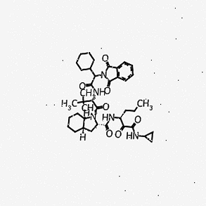 CCC[C@H](NC(=O)[C@@H]1C[C@@H]2CCCC[C@@H]2N1C(=O)[C@@H](NC(=O)C(C1CCCCC1)N1C(=O)c2ccccc2C1=O)C(C)(C)C)C(=O)C(=O)NC1CC1